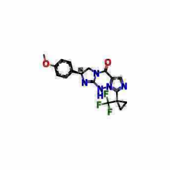 COc1ccc([C@H]2CN3C(=O)c4cnc(C5(C(F)(F)F)CC5)n4NC3=N2)cc1